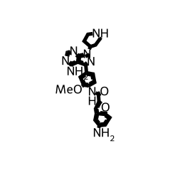 COc1cc(-c2nn(C3CCNCC3)c3ncnc(N)c23)ccc1NC(=O)c1cc2cc(N)ccc2o1